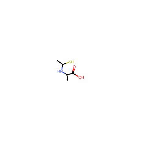 CC(S)NC(C)C(=O)O